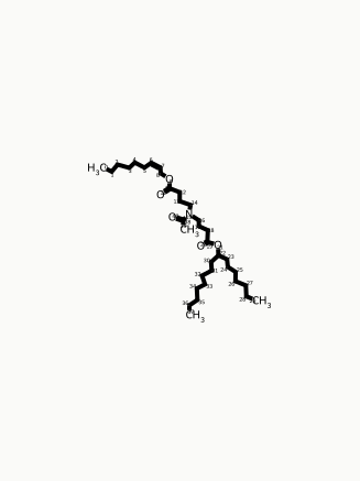 CCCCCC/C=C\COC(=O)CCCN(CCCC(=O)OC(CCCCCCC)CCCCCCCC)C(C)=O